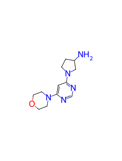 NC1CCN(c2cc(N3CCOCC3)ncn2)C1